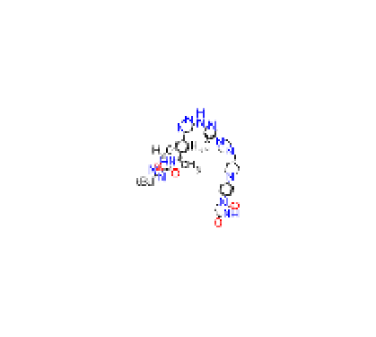 Cc1cc(-c2cc(Nc3cc(C)c(N4CCN(CC5CCN(c6ccc(N7CCC(=O)NC7=O)cc6)CC5)CC4)cn3)ncn2)ccc1[C@@H](C)NC(=O)c1nc(C(C)(C)C)no1